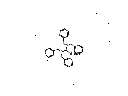 CCCCCCCC(P(Cc1ccccc1)Cc1ccccc1)P(Cc1ccccc1)Cc1ccccc1